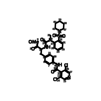 COC(=O)C(Cc1ccc(NC(=O)c2c(Cl)cncc2Cl)cc1)NC(=O)N(C)c1ccccc1S(=O)(=O)N1CCCCC1